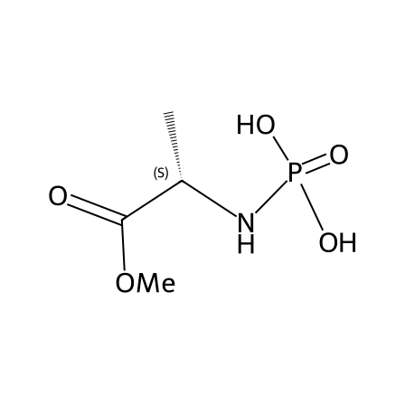 COC(=O)[C@H](C)NP(=O)(O)O